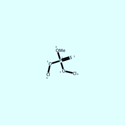 COP(=S)(OCl)OCl